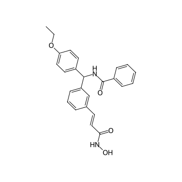 CCOc1ccc(C(NC(=O)c2ccccc2)c2cccc(/C=C/C(=O)NO)c2)cc1